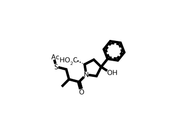 CC(=O)SCC(C)C(=O)N1CC(O)(c2ccccc2)C[C@H]1C(=O)O